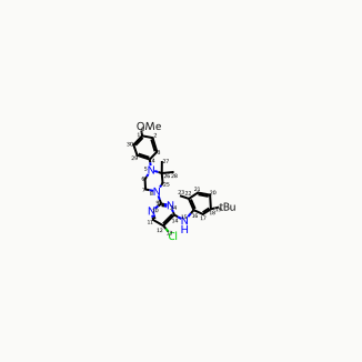 COc1ccc(N2CCN(c3ncc(Cl)c(Nc4cc(C(C)(C)C)ccc4C)n3)CC2(C)C)cc1